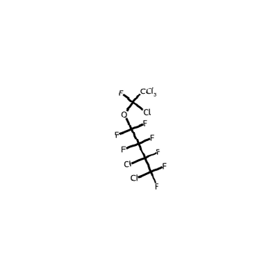 FC(F)(Cl)C(F)(Cl)C(F)(F)C(F)(F)OC(F)(Cl)C(Cl)(Cl)Cl